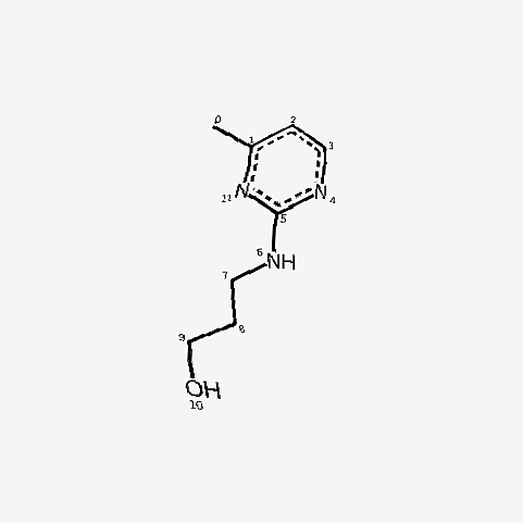 Cc1ccnc(NCCCO)n1